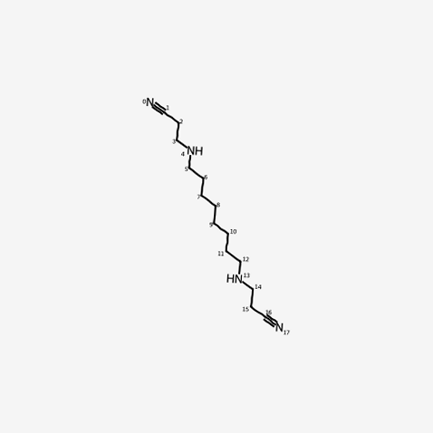 N#CCCNCCCCCCCCNCCC#N